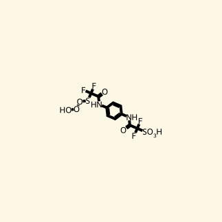 O=C(Nc1ccc(NC(=O)C(F)(F)S(=O)(=O)O)cc1)C(F)(F)SOOO